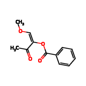 COC=C(OC(=O)c1ccccc1)C(C)=O